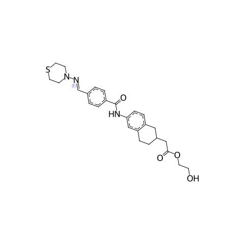 O=C(CC1CCc2cc(NC(=O)c3ccc(/C=N/N4CCSCC4)cc3)ccc2C1)OCCO